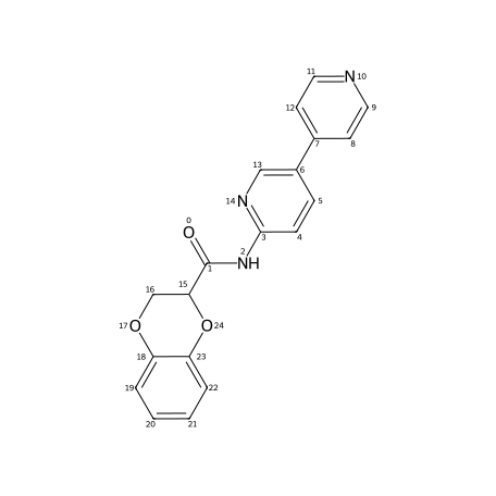 O=C(Nc1ccc(-c2ccncc2)cn1)C1COc2ccccc2O1